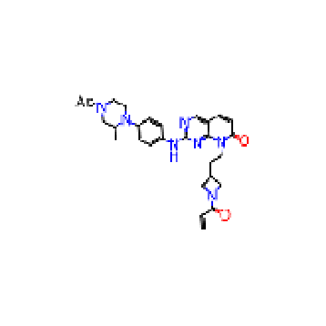 C=CC(=O)N1CC(CCn2c(=O)ccc3cnc(Nc4ccc(N5CCN(C(C)=O)C[C@@H]5C)cc4)nc32)C1